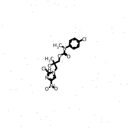 CN(C(=O)OCC(C)(O)Cn1cc([N+](=O)[O-])nc1Cl)c1ccc(Cl)cc1